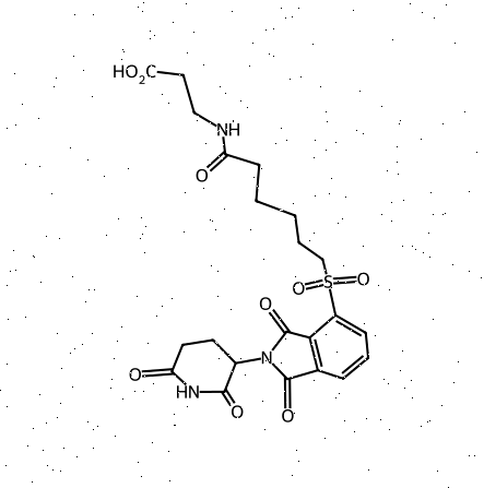 O=C(O)CCNC(=O)CCCCCS(=O)(=O)c1cccc2c1C(=O)N(C1CCC(=O)NC1=O)C2=O